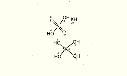 O=S(=O)(O)O.O[Si](O)(O)O.[KH]